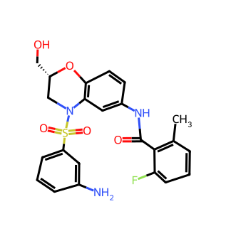 Cc1cccc(F)c1C(=O)Nc1ccc2c(c1)N(S(=O)(=O)c1cccc(N)c1)C[C@H](CO)O2